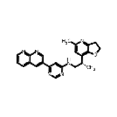 Cc1cc([C@H](C)CNc2cc(-c3cnc4ncccc4c3)ncn2)c2c(n1)CCO2